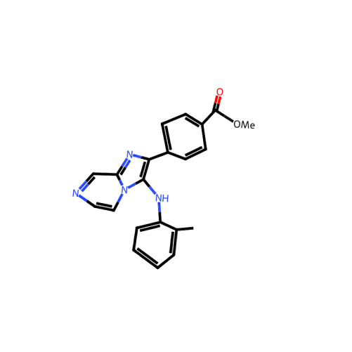 COC(=O)c1ccc(-c2nc3cnccn3c2Nc2ccccc2C)cc1